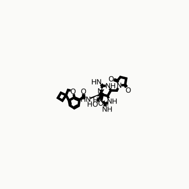 N=C1NC2C(CN3C(=O)CCC3=O)NC(=N)N3C[C@H](NC(=O)c4cccc5c4OCC54CCC4)C(O)(O)C23N1